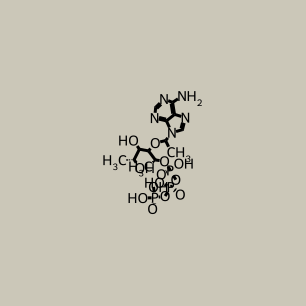 CC(OC(C(O)[C@@H](C)O)[C@H](C)OP(=O)(O)OP(=O)(O)OP(=O)(O)O)n1cnc2c(N)ncnc21